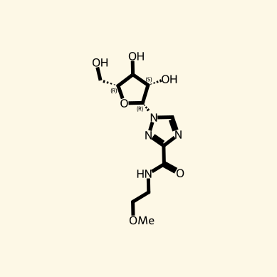 COCCNC(=O)c1ncn([C@@H]2O[C@H](CO)C(O)[C@@H]2O)n1